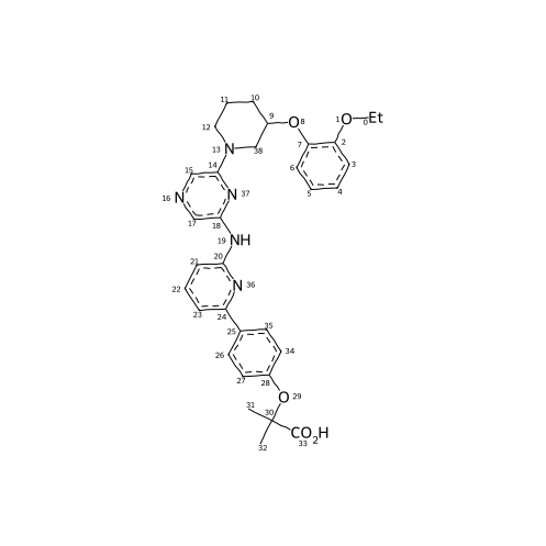 CCOc1ccccc1OC1CCCN(c2cncc(Nc3cccc(-c4ccc(OC(C)(C)C(=O)O)cc4)n3)n2)C1